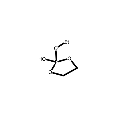 CCO[P]1(O)OCCO1